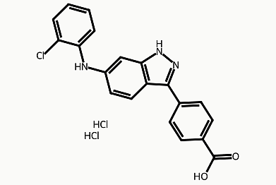 Cl.Cl.O=C(O)c1ccc(-c2n[nH]c3cc(Nc4ccccc4Cl)ccc23)cc1